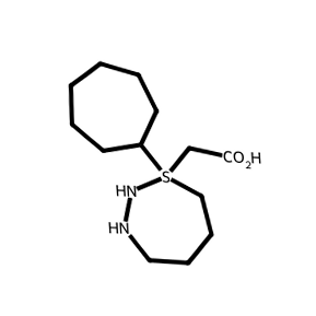 O=C(O)CS1(C2CCCCCC2)CCCCNN1